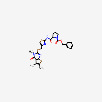 Cc1sc2nc(SCc3csc(NC(=O)C4CCCN4C(=O)OCc4ccccc4)n3)n(C)c(=O)c2c1C